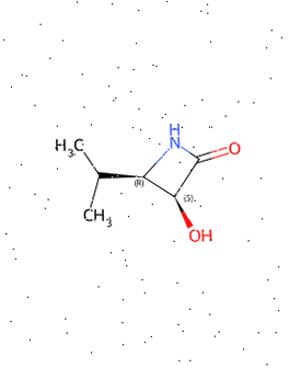 CC(C)[C@H]1NC(=O)[C@H]1O